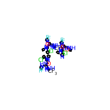 Cc1nnc(C[C@H](CCN2CCCC(F)(F)C2)NC(=O)c2cc(-c3ccccc3Cl)n(C3CCCC3)n2)[nH]1.O=C(C[C@H](CCN1CCCC(F)(F)C1)NC(=O)c1cc(-c2ccncc2Cl)n(C2CCCC2)n1)NC1CCC1.O=C(N[C@@H](CCN1CCCC(F)(F)C1)Cc1nnc(C(F)(F)F)[nH]1)c1cc(-c2ccccc2Cl)n(C2CCCC2)n1